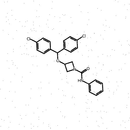 O=C(Nc1ccccc1)N1CC(OC(c2ccc(Cl)cc2)c2ccc(Cl)cc2)C1